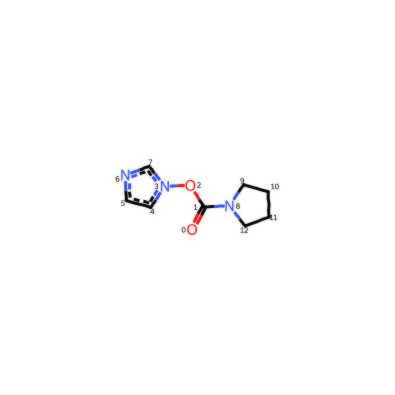 O=C(On1ccnc1)N1CCCC1